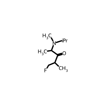 CC(CF)C(=O)C(C)N(C)C(C)C